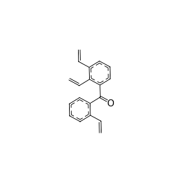 C=Cc1ccccc1C(=O)c1cccc(C=C)c1C=C